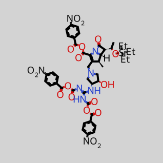 CC[Si](CC)(CC)OC(C)[C@H]1C(=O)N2C(C(=O)OC(=O)c3ccc([N+](=O)[O-])cc3)=C(CN3C[C@@H](O)[C@H](N/C(=N/C(=O)OC(=O)c4ccc([N+](=O)[O-])cc4)NC(=O)OC(=O)c4ccc([N+](=O)[O-])cc4)C3)[C@H](C)[C@H]12